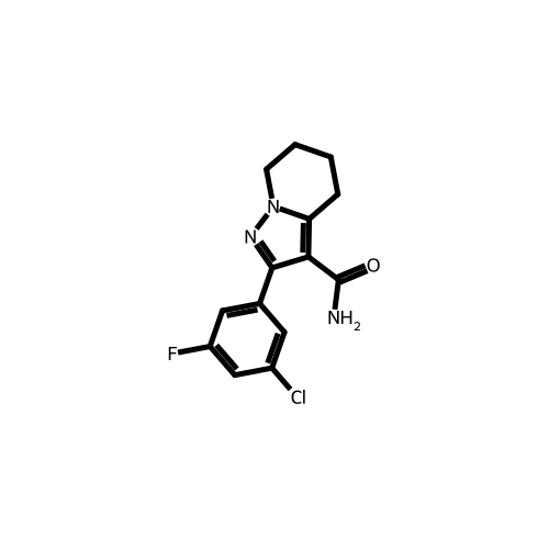 NC(=O)c1c(-c2cc(F)cc(Cl)c2)nn2c1CCCC2